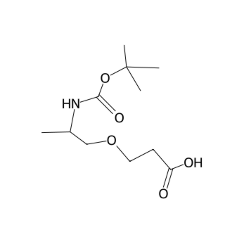 CC(COCCC(=O)O)NC(=O)OC(C)(C)C